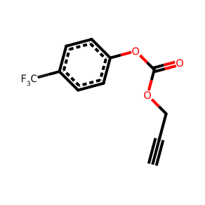 C#CCOC(=O)Oc1ccc(C(F)(F)F)cc1